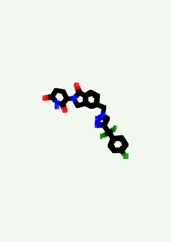 O=C1CCC(N2Cc3cc(Cn4cc(C(F)(F)c5ccc(Cl)cc5)nn4)ccc3C2=O)C(=O)N1